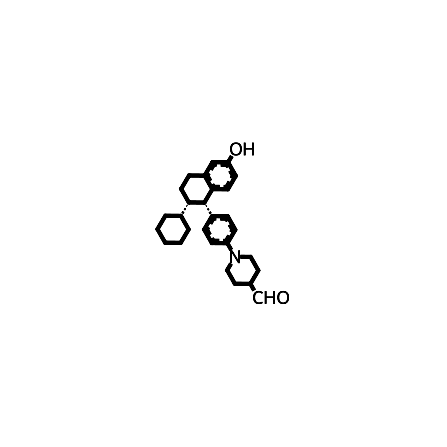 O=CC1CCN(c2ccc([C@H]3c4ccc(O)cc4CC[C@H]3C3CCCCC3)cc2)CC1